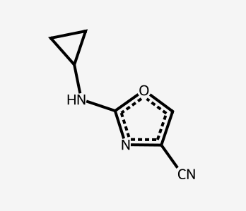 N#Cc1coc(NC2CC2)n1